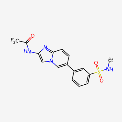 CCNS(=O)(=O)c1cccc(-c2ccc3nc(NC(=O)C(F)(F)F)cn3c2)c1